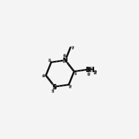 BC1CSCCN1C